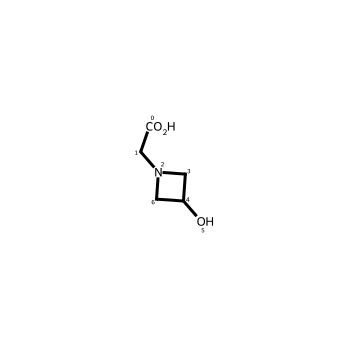 O=C(O)CN1CC(O)C1